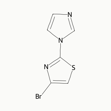 Brc1csc(-n2ccnc2)n1